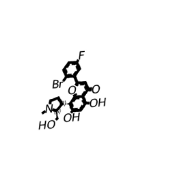 CN1CC[C@H](c2c(O)cc(O)c3c(=O)cc(-c4cc(F)ccc4Br)oc23)[C@H]1CO